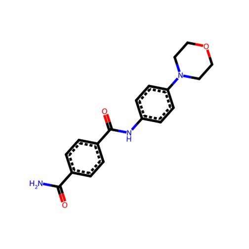 NC(=O)c1ccc(C(=O)Nc2ccc(N3CCOCC3)cc2)cc1